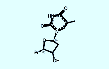 Cc1cn([C@H]2CC(O)[C@@H](C(C)C)O2)c(=O)[nH]c1=O